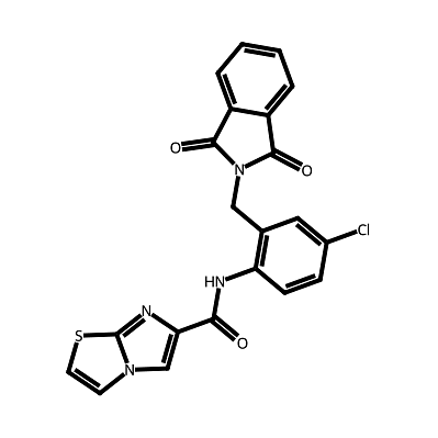 O=C(Nc1ccc(Cl)cc1CN1C(=O)c2ccccc2C1=O)c1cn2ccsc2n1